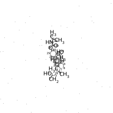 C=C(O)CC[C@@H](C)[C@H]1CC[C@H]2[C@@H]3CC(=O)[C@@H]4C[C@H](OC(=O)NC(C)C)CC[C@]4(C)[C@H]3CC[C@]12C